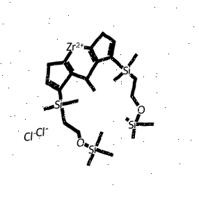 CC1C2=[C](CC=C2[Si](C)(C)CCO[Si](C)(C)C)[Zr+2][C]2=C1C([Si](C)(C)CCO[Si](C)(C)C)=CC2.[Cl-].[Cl-]